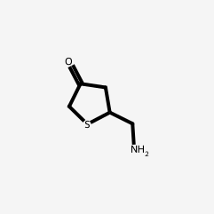 NCC1CC(=O)CS1